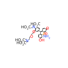 NP1(=O)C2=CC(=O)C=CC2=C(c2ccc(N(CC(=O)O)CC(=O)O)c(OCCOCCN(CC(=O)O)CC(=O)O)c2)c2ccc(O)cc21